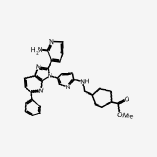 COC(=O)C1CCC(CNc2ccc(-n3c(-c4cccnc4N)nc4ccc(-c5ccccc5)nc43)cn2)CC1